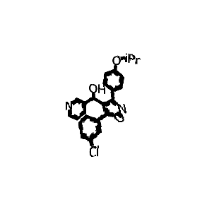 CC(C)Oc1ccc(-c2noc(-c3cccc(Cl)c3)c2C(O)c2cccnc2)cc1